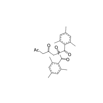 CC(=O)CC(=O)CP(=O)(C(=O)c1c(C)cc(C)cc1C)C(=O)c1c(C)cc(C)cc1C